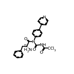 N[C@H](Cc1ccccc1)C(=O)N(C(=O)NC(=O)C(Cl)(Cl)Cl)c1ccc(-c2ccncc2)cc1